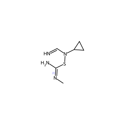 C/N=C(/N)SN(C=N)C1CC1